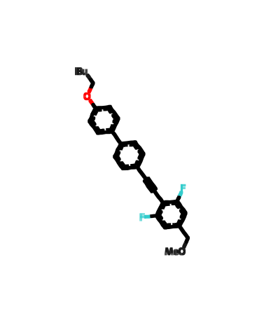 CCC(C)COc1ccc(-c2ccc(C#Cc3c(F)cc(COC)cc3F)cc2)cc1